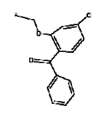 O=C(c1ccccc1)c1ccc(Cl)cc1OCF